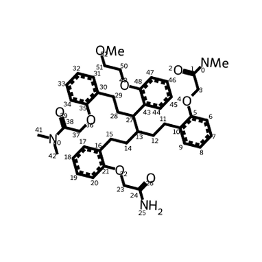 CNC(=O)COc1ccccc1CC[C](CCc1ccccc1OCC(N)=O)C(CCc1ccccc1OCC(=O)N(C)C)c1ccccc1OCCOC